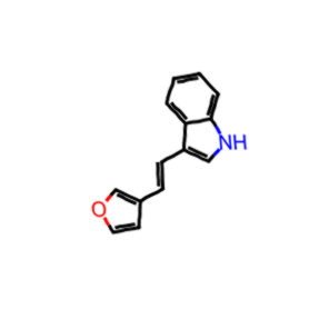 C(=Cc1c[nH]c2ccccc12)c1ccoc1